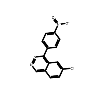 O=[N+]([O-])c1ccc(-c2nncc3ccc(Cl)cc23)cc1